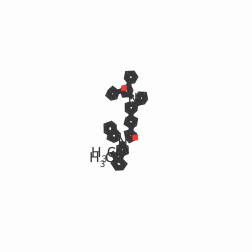 CC1(C)c2ccccc2-c2ccc(N(c3cccc(-c4ccc(-c5ccc6c(c5)c5ccccc5n6-c5cc(-c6ccccc6)cc(-c6ccccc6)c5)cc4)c3)c3ccc4ccccc4c3)cc21